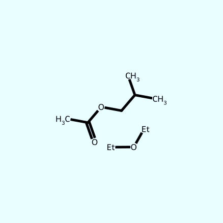 CC(=O)OCC(C)C.CCOCC